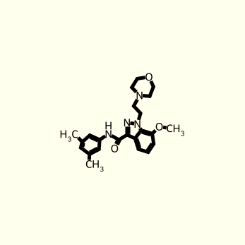 COc1cccc2c(C(=O)Nc3cc(C)cc(C)c3)nn(CCN3CCOCC3)c12